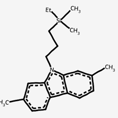 CC[Si](C)(C)CCCn1c2cc(C)ccc2c2ccc(C)cc21